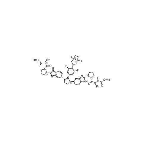 COC(=O)N[C@H](C(=O)N1CCC[C@H]1c1nc2cc([C@H]3CC[C@H](c4ccc5[nH]c([C@@H]6CCCN6C(=O)[C@H](C(C)C)N(C)C(=O)O)nc5c4)N3c3cc(F)c(N4C[C@H]5CC[C@H]5C4)c(F)c3)ccc2[nH]1)C(C)C